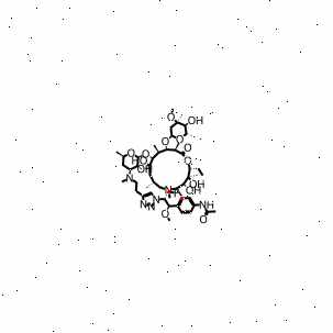 CC[C@H]1OC(=O)[C@H](C)[C@@H](O[C@H]2C[C@@](C)(OC)[C@@H](O)[C@H](C)O2)[C@H](C)[C@@H](O[C@@H]2O[C@H](C)C[C@H](N(C)CCc3cn([C@H](CF)[C@H](OC)c4ccc(NC(C)=O)cc4)nn3)[C@H]2O)[C@](C)(O)C[C@@H](C)CN(C)[C@H](C)[C@@H](O)[C@]1(C)O